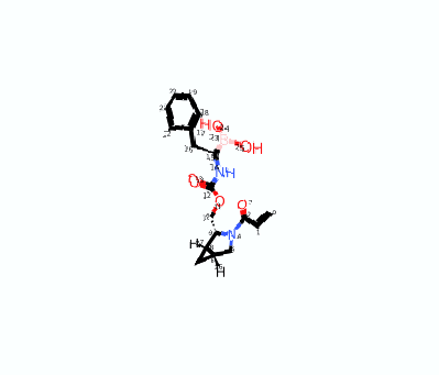 C=CC(=O)N1C[C@@H]2C[C@@H]2[C@@H]1COC(=O)N[C@@H](Cc1ccccc1)B(O)O